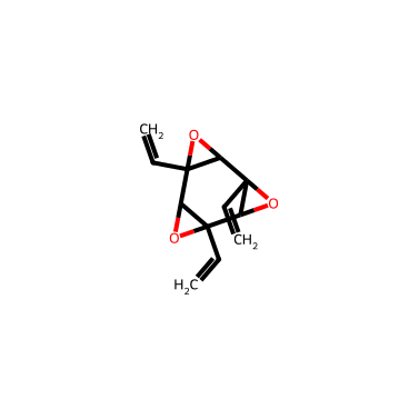 C=CC12OC1C1(C=C)OC1C1(C=C)OC21